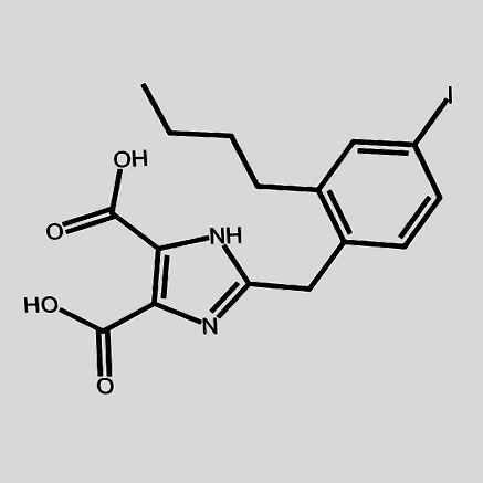 CCCCc1cc(I)ccc1Cc1nc(C(=O)O)c(C(=O)O)[nH]1